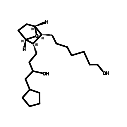 OCCCCCCC[C@@H]1[C@H](CCC(O)CC2CCCC2)[C@@H]2CC[C@H]1O2